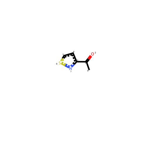 CC(=O)c1ccsn1